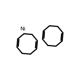 C1=C\CC/C=C\CC/1.C1=C\CC/C=C\CC/1.[Ni]